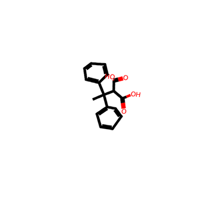 CC(c1ccccc1)(c1ccccc1)C(C(=O)O)C(=O)O